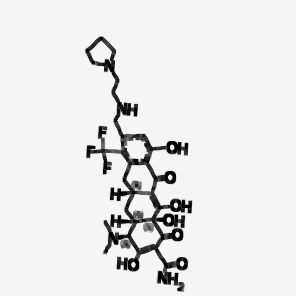 CN(C)[C@@H]1C(O)=C(C(N)=O)C(=O)[C@@]2(O)C(O)=C3C(=O)c4c(O)cc(CNCCN5CCCC5)c(C(F)(F)F)c4C[C@H]3C[C@@H]12